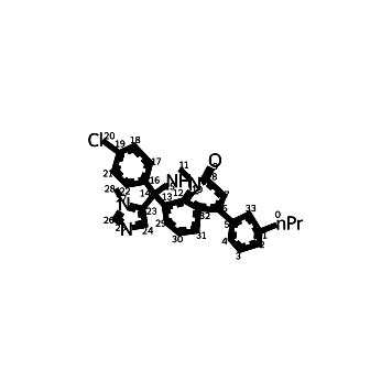 CCCc1cccc(-c2cc(=O)n(C)c3c(C(N)(c4ccc(Cl)cc4)c4cncn4C)cccc23)c1